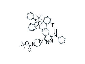 CC(C)(C)OC(=O)N1CCN(c2nnc(Nc3ccccc3)c3cc(-c4c(F)cccc4O[Si](c4ccccc4)(c4ccccc4)C(C)(C)C)c(Cl)cc23)CC1